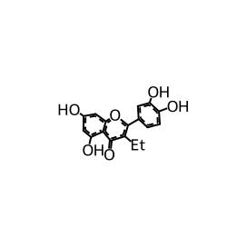 CCc1c(-c2ccc(O)c(O)c2)oc2cc(O)cc(O)c2c1=O